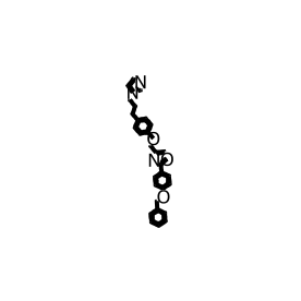 c1ccc(COc2ccc(-c3nc(COc4ccc(CCCn5ccnc5)cc4)co3)cc2)cc1